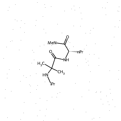 CCC[C@H](NC(=O)C(C)(C)NC(C)C)C(=O)NC